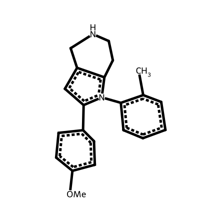 COc1ccc(-c2cc3c(n2-c2ccccc2C)CCNC3)cc1